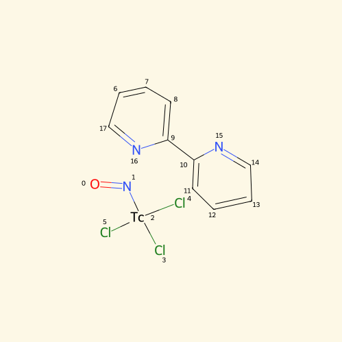 O=[N][Tc]([Cl])([Cl])[Cl].c1ccc(-c2ccccn2)nc1